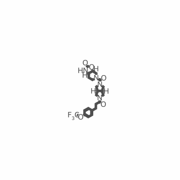 O=C1N[C@@H]2CCN(C(=O)N3C[C@@H]4CN(C(=O)CCc5ccc(OC(F)(F)F)cc5)C[C@H]4C3)C[C@H]2O1